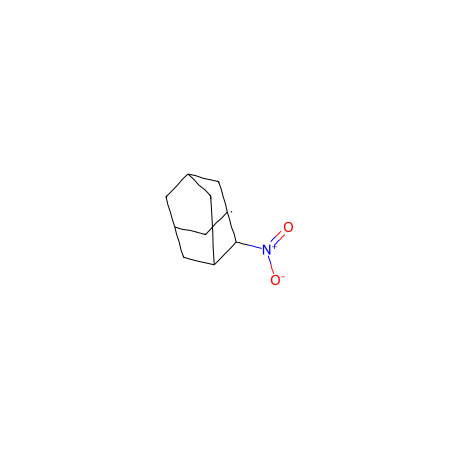 O=[N+]([O-])C1[C]2CC3CC(C2)CC1C3